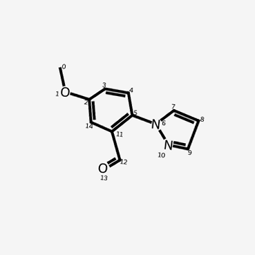 COc1ccc(-n2cccn2)c(C=O)c1